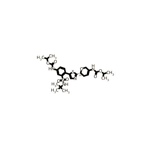 CC(C)OC(=O)NC1=CC[C@H](c2ncc(-c3ccc(NC(=O)OC(C)C)cc3S(=O)(=O)NC(C)(C)C)s2)OC1